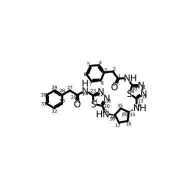 O=C(Cc1ccccc1)Nc1nnc(N[C@@H]2CC[C@@H](Nc3nnc(NC(=O)Cc4ccccc4)s3)C2)s1